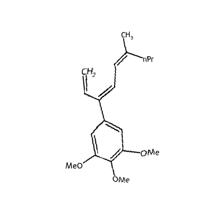 C=C/C(=C\C=C(\C)CCC)c1cc(OC)c(OC)c(OC)c1